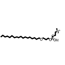 CCCCCCCCCCCCCCCCCCOCCCOP(O)OCC[N+](C)(C)C